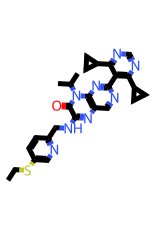 CCSc1ccc(CNc2nc3cnc(-c4c(C5CC5)ncnc4C4CC4)nc3n(C(C)C)c2=O)nc1